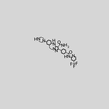 NC(=O)c1c(-c2ccc(C(=O)Nc3cc(C(F)(F)F)ccn3)cc2)nn2c1Nc1ccc(N3CCNCC3)cc1CC2